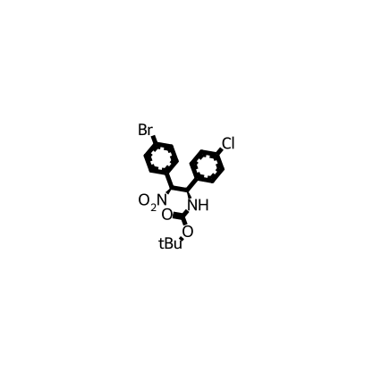 CC(C)(C)OC(=O)N[C@H](c1ccc(Cl)cc1)[C@H](c1ccc(Br)cc1)[N+](=O)[O-]